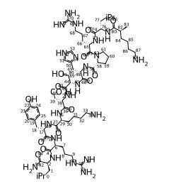 CC(C)C[C@H](NC(=O)[C@H](CCCNC(=N)N)NC(=O)[C@H](Cc1ccc(O)cc1)NC(=O)[C@H](CCCCN)NC(=O)[C@H](CC(=O)O)NC(=O)[C@@H](NC(=O)[C@H](Cc1c[nH]cn1)NC(=O)[C@H]1CCCN1C(=O)[C@H](CCCNC(=N)N)NC(=O)[C@H](CC(C)C)NC(=O)[C@@H](C)CCCCN)[C@@H](C)O)C(N)=O